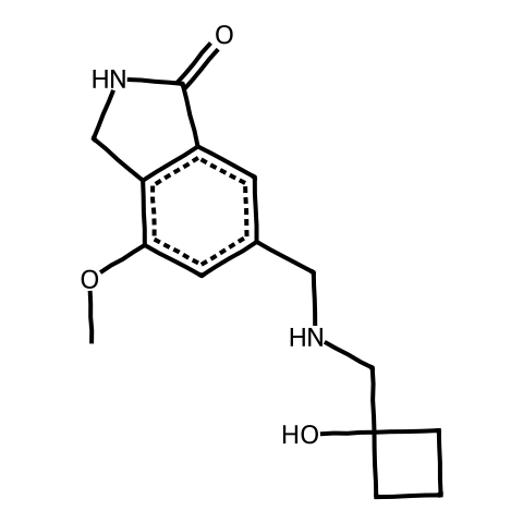 COc1cc(CNCC2(O)CCC2)cc2c1CNC2=O